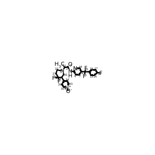 CC(C(=O)Nc1ccc(C(F)(F)c2ccc(F)cc2)cn1)N1CCC(F)(F)C(c2cc[n+]([O-])cc2)C1